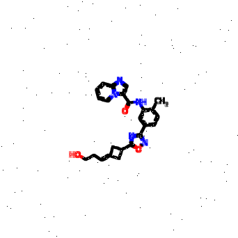 Cc1ccc(-c2noc(C3CC(=CCCO)C3)n2)cc1NC(=O)c1cnc2ccccn12